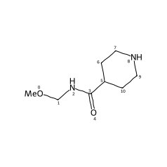 COCNC(=O)C1CCNCC1